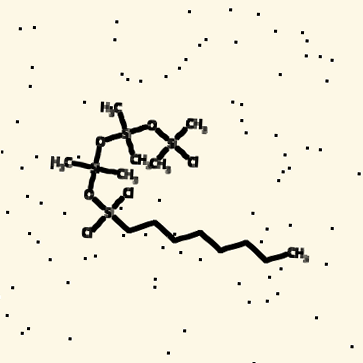 CCCCCCCC[Si](Cl)(Cl)O[Si](C)(C)O[Si](C)(C)O[Si](C)(C)Cl